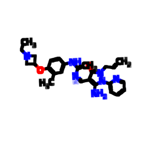 C=CCn1c(=O)c(/C=N\C(=C)Nc2ccc(OC3CN(CC)C3)c(C)c2)c(N)n1-c1ccccn1